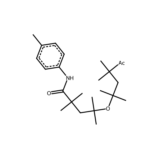 CC(=O)C(C)(C)CC(C)(C)OC(C)(C)CC(C)(C)C(=O)Nc1ccc(C)cc1